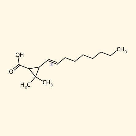 CCCCCCC/C=C/C1C(C(=O)O)C1(C)C